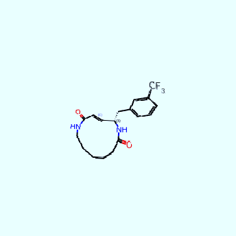 O=C1/C=C/[C@H](Cc2cccc(C(F)(F)F)c2)NC(=O)CCCCCN1